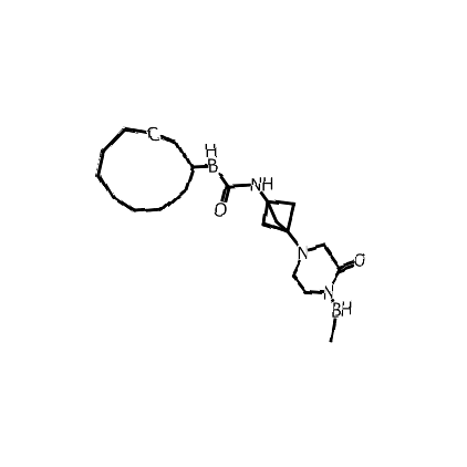 CBN1CCN(C23CC(NC(=O)BC4CCCCCCCCC4)(C2)C3)CC1=O